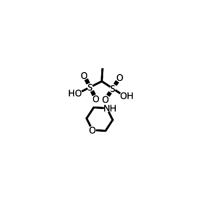 C1COCCN1.CC(S(=O)(=O)O)S(=O)(=O)O